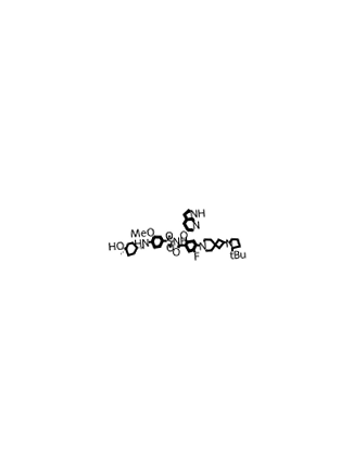 COc1cc(S(=O)(=O)NC(=O)c2cc(F)c(N3CCC4(CC3)CC(N3CCCC3C(C)(C)C)C4)cc2Oc2cnc3[nH]ccc3c2)ccc1NC[C@H]1CC[C@](C)(O)CC1